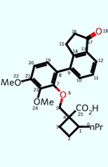 CCCC1CCC1(COc1c(-c2cccc3c2CCC3=O)ccc(OC)c1OC)C(=O)O